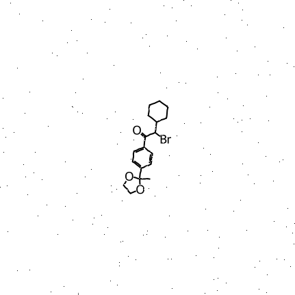 CC1(c2ccc(C(=O)C(Br)C3CCCCC3)cc2)OCCO1